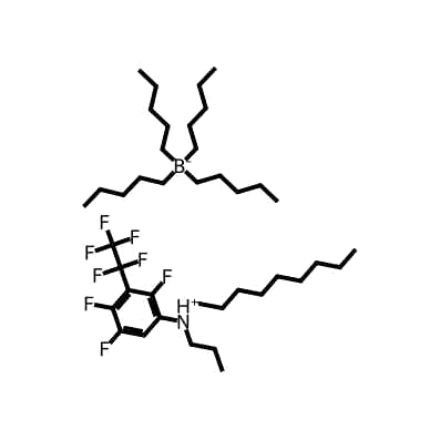 CCCCCCCCC[NH+](CCC)c1cc(F)c(F)c(C(F)(F)C(F)(F)F)c1F.CCCCC[B-](CCCCC)(CCCCC)CCCCC